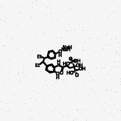 CCC(c1ccc(O)cc1)C(CC)c1ccc(O)c(NC(=O)CCC(O)(P(=O)(O)O)P(=O)(O)O)c1.[NaH].[NaH]